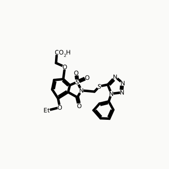 CCOc1ccc(OCC(=O)O)c2c1C(=O)N(CSc1nnnn1-c1ccccc1)S2(=O)=O